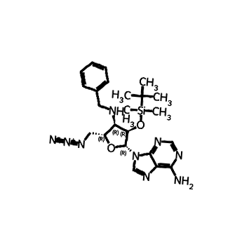 CC(C)(C)[Si](C)(C)O[C@@H]1[C@H](NCc2ccccc2)[C@@H](CN=[N+]=[N-])O[C@H]1n1cnc2c(N)ncnc21